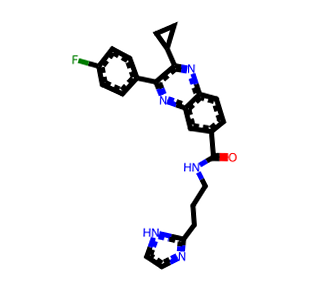 O=C(NCCCc1ncc[nH]1)c1ccc2nc(C3CC3)c(-c3ccc(F)cc3)nc2c1